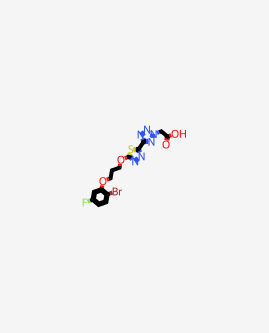 O=C(O)Cn1nnc(-c2nnc(OCCCOc3cc(F)ccc3Br)s2)n1